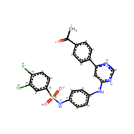 CC(=O)c1ccc(-c2cc(Nc3ccc(NS(=O)(=O)c4ccc(F)c(Cl)c4)cc3)ncn2)cc1